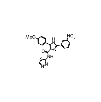 COc1ccc(-c2[nH]c(-c3cccc([N+](=O)[O-])c3)nc2C(=O)Nc2nncs2)cc1